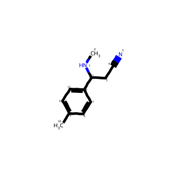 CNC(CC#N)c1ccc(C)cc1